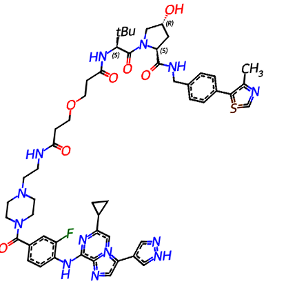 Cc1ncsc1-c1ccc(CNC(=O)[C@@H]2C[C@@H](O)CN2C(=O)[C@@H](NC(=O)CCOCCC(=O)NCCN2CCN(C(=O)c3ccc(Nc4nc(C5CC5)cn5c(-c6cn[nH]c6)cnc45)c(F)c3)CC2)C(C)(C)C)cc1